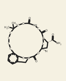 CC1(C)CCCCc2cccc3c2CN(C3)C(=O)O[C@@H]2C[C@@H](C(N)=O)N(C2)C(=O)CNC(=O)OC1